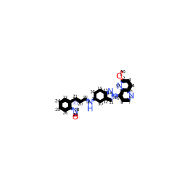 COc1ccc2nccc(-n3cc4c(n3)CCC(NC/C=C/c3ccccc3N=O)C4)c2n1